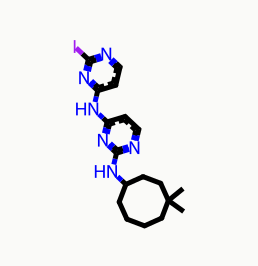 CC1(C)CCCCC(Nc2nccc(Nc3ccnc(I)n3)n2)CC1